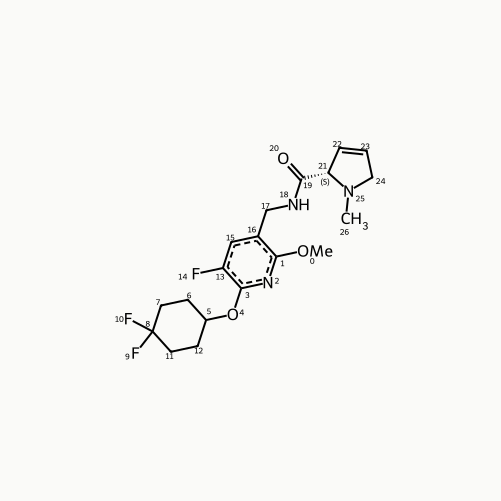 COc1nc(OC2CCC(F)(F)CC2)c(F)cc1CNC(=O)[C@@H]1C=CCN1C